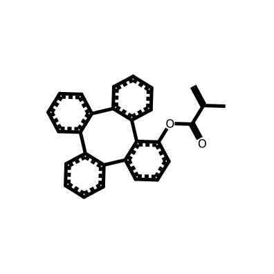 C=C(C)C(=O)Oc1cccc2c1-c1ccccc1-c1ccccc1-c1ccccc1-2